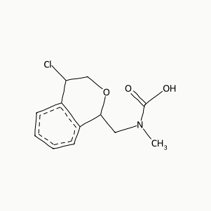 CN(CC1OCC(Cl)c2ccccc21)C(=O)O